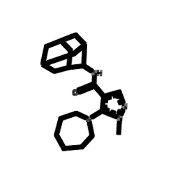 Cn1ncc(C(=O)NC2C3CC4CC(C3)CC2C4)c1N1CCCCCC1